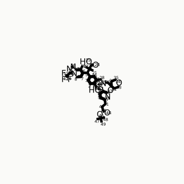 Cc1ccc(C(c2ccn3c(C(F)(F)F)nnc3c2C)C(C)(C)C(=O)O)cc1CN1CC2(CCOCC2)Oc2nc(CCC(=O)OC(C)(C)C)ccc2S1(O)O